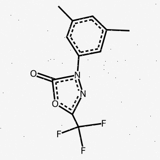 Cc1cc(C)cc(-n2nc(C(F)(F)F)oc2=O)c1